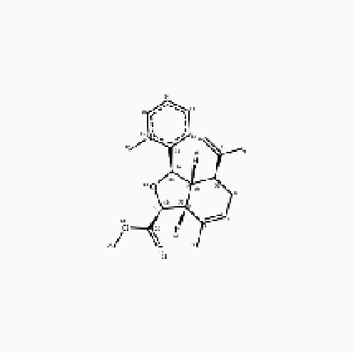 C=C(C)[C@H]1CC=C(C)[C@H]2[C@@H]1[C@H](c1cccc[n+]1C)O[C@@H]2C(=O)OC